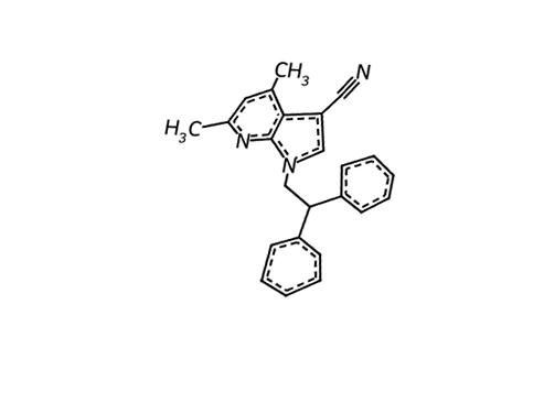 Cc1cc(C)c2c(C#N)cn(CC(c3ccccc3)c3ccccc3)c2n1